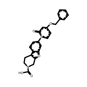 O=C(O)N1CCc2c(oc3cc(-n4ccc(OCc5ccccc5)cc4=O)ccc23)C1